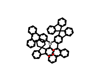 c1ccc2c(c1)-c1cccc(N(c3ccc4c5ccccc5c5ccccc5c4c3)c3cc4c(cc3-c3cc5ccccc5c5ccccc35)-c3ccccc3C43c4ccccc4-c4ccccc43)c1C21CCCCC1